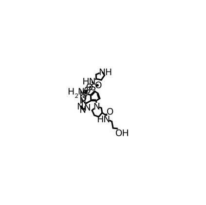 NS(=O)(=O)c1c(S(=O)(=O)N[C@@H]2CCNC2)ccc(N2CCCC(C(=O)NCCCO)C2)c1-c1nnn[nH]1